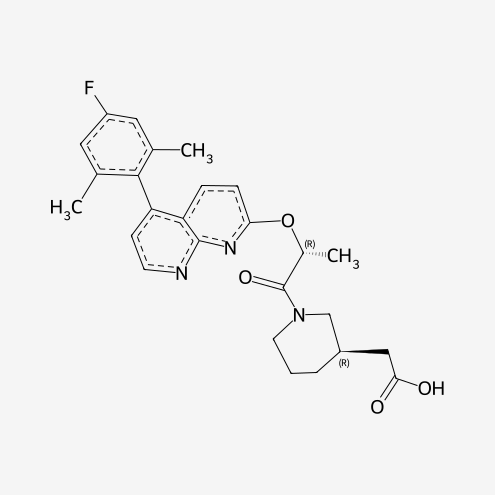 Cc1cc(F)cc(C)c1-c1ccnc2nc(O[C@H](C)C(=O)N3CCC[C@H](CC(=O)O)C3)ccc12